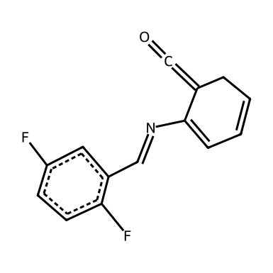 O=C=C1CC=CC=C1N=Cc1cc(F)ccc1F